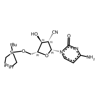 CC(C)C[Si](CC(C)C)(OC[C@H]1O[C@@H](n2ccc(N)nc2=O)[C@@H](C#N)[C@@H]1O)C(C)(C)C